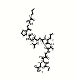 CCCOC(=O)NNCC(=O)N1CCC[C@H]1C(=O)N[C@@H](CC(C)C)C(=O)NCC(=O)N[C@H](C(=O)NC(C)C(=O)NCC(=O)C(=O)[C@H](CCC(N)=O)NC(=O)OC)[C@@H](C)CC